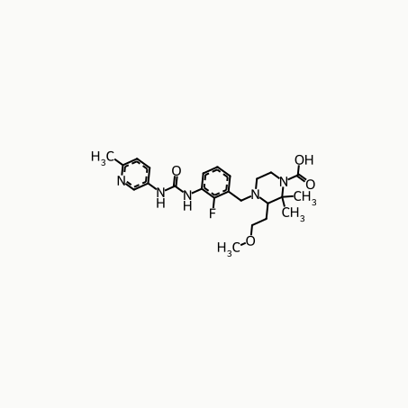 COCCC1N(Cc2cccc(NC(=O)Nc3ccc(C)nc3)c2F)CCN(C(=O)O)C1(C)C